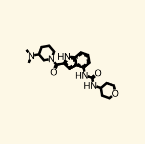 CN(C)C1CCCN(C(=O)c2cc3c(NC(=O)NC4CCOCC4)cccc3[nH]2)C1